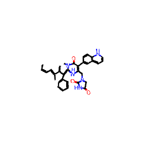 C=C(/C(=C1/NC(CN2CC(=O)NC2=O)=C(C2=CC3=CC=CNC3C=C2)C(=O)N1C)c1ccccc1)/C(C)=C/C=C\C